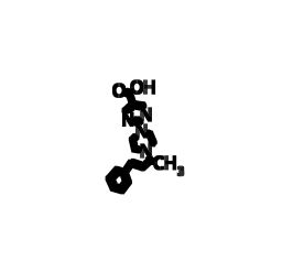 CC(/C=C/c1ccccc1)N1CCN(c2ncc(C(=O)O)cn2)CC1